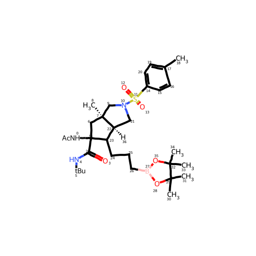 CC(=O)NC1(C(=O)NC(C)(C)C)C[C@@]2(C)CN(S(=O)(=O)c3ccc(C)cc3)C[C@H]2C1CCCB1OC(C)(C)C(C)(C)O1